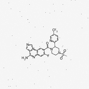 CS(=O)(=O)N1CCN(C(=O)c2cc3c(cc2F)nc(N)c2cncn23)C(c2ccc(C(F)(F)F)cn2)C1